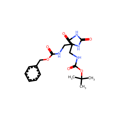 CC(C)(C)OC(=O)NCC1(CNC(=O)OCc2ccccc2)NC(=O)NC1=O